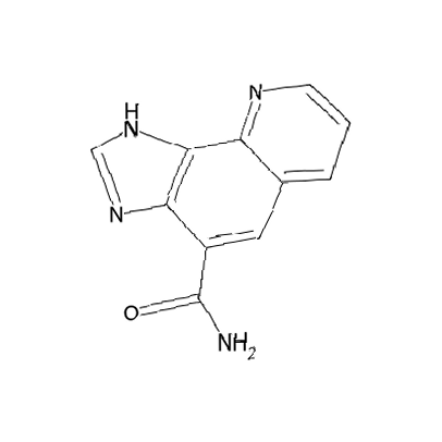 NC(=O)c1cc2cccnc2c2[nH]cnc12